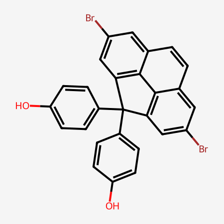 Oc1ccc(C2(c3ccc(O)cc3)c3cc(Br)cc4ccc5cc(Br)cc2c5c34)cc1